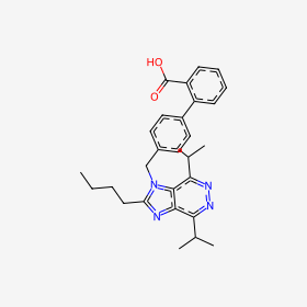 CCCCc1nc2c(C(C)C)nnc(C(C)C)c2n1Cc1ccc(-c2ccccc2C(=O)O)cc1